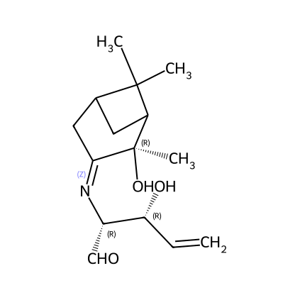 C=C[C@@H](O)[C@H](C=O)/N=C1/CC2CC(C2(C)C)[C@@]1(C)O